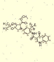 COC(=O)C1CC(OC(C)(C)C)CN1c1ccc(NC(=O)c2c[nH]c3ccccc3c2=O)c(C(F)(F)F)c1